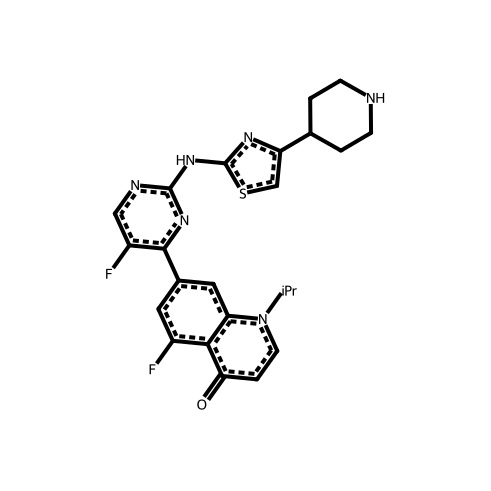 CC(C)n1ccc(=O)c2c(F)cc(-c3nc(Nc4nc(C5CCNCC5)cs4)ncc3F)cc21